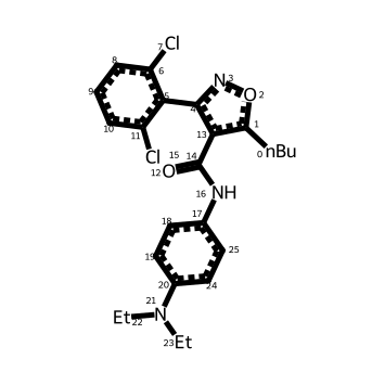 CCCCc1onc(-c2c(Cl)cccc2Cl)c1C(=O)Nc1ccc(N(CC)CC)cc1